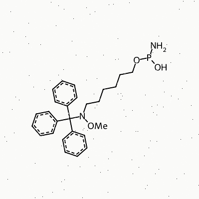 CON(CCCCCCOP(N)O)C(c1ccccc1)(c1ccccc1)c1ccccc1